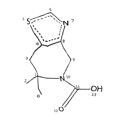 CC1(C)Cc2scnc2CN1C(=O)O